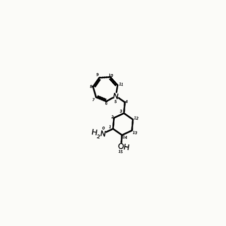 NC1CC(CN2C=CC=CC=C2)CCC1O